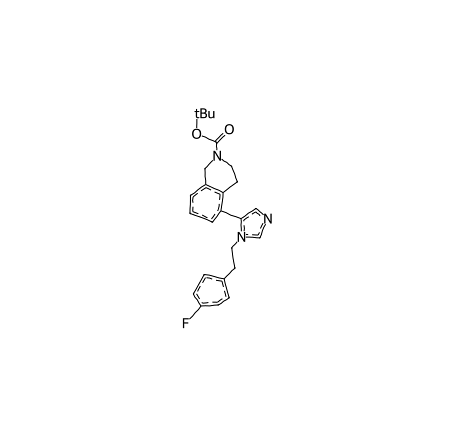 CC(C)(C)OC(=O)N1CCc2c(cccc2-c2cncn2CCc2ccc(F)cc2)C1